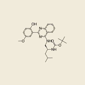 COc1ccc(O)c(-c2nc(NC[C@H](CC(C)C)NC(=O)OC(C)(C)C)c3ccccc3n2)c1